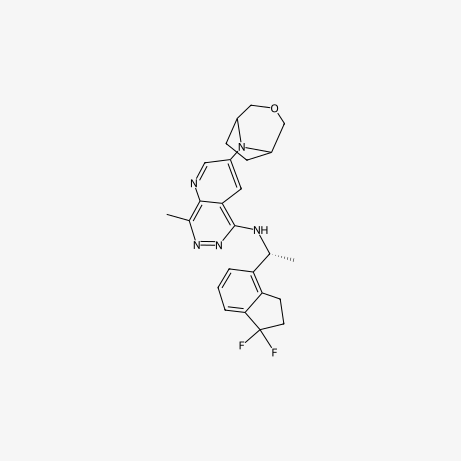 Cc1nnc(N[C@H](C)c2cccc3c2CCC3(F)F)c2cc(N3C4CCC3COC4)cnc12